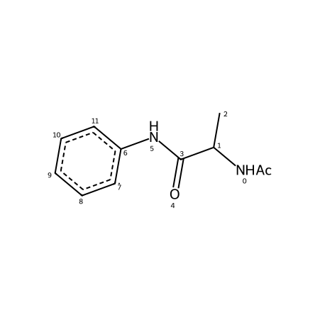 CC(=O)NC(C)C(=O)Nc1[c]cccc1